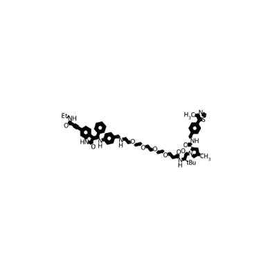 CCNC(=O)C#Cc1ccc2c(c1)NC(=O)/C2=C(\Nc1ccc(CNCCOCCOCCOCCOCCC(=O)N[C@H](C(=O)N2CC(C)C[C@H]2C(=O)NCc2ccc(-c3scnc3C)cc2)C(C)(C)C)cc1)c1ccccc1